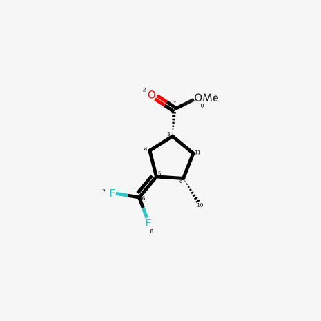 COC(=O)[C@H]1CC(=C(F)F)[C@@H](C)C1